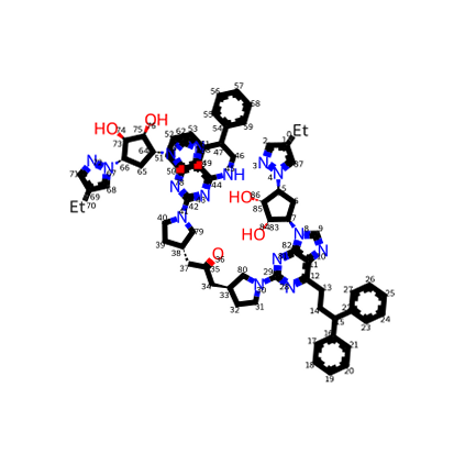 CCc1cnn([C@H]2C[C@@H](n3cnc4c(CCC(c5ccccc5)c5ccccc5)nc(N5CC[C@@H](CC(=O)C[C@@H]6CCN(c7nc(NCC(c8ccccc8)c8ccccc8)c8ncn([C@@H]9C[C@H](n%10cc(CC)cn%10)[C@@H](O)[C@H]9O)c8n7)C6)C5)nc43)[C@H](O)[C@@H]2O)c1